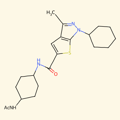 CC(=O)NC1CCC(NC(=O)c2cc3c(C)nn(C4CCCCC4)c3s2)CC1